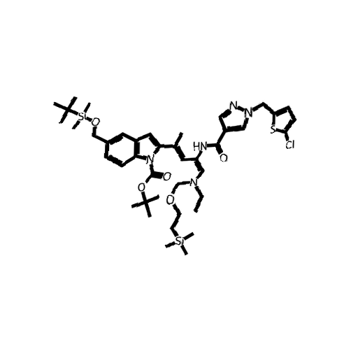 CCN(/C=C(\C=C(/C)c1cc2cc(CO[Si](C)(C)C(C)(C)C)ccc2n1C(=O)OC(C)(C)C)NC(=O)c1cnn(Cc2ccc(Cl)s2)c1)COCC[Si](C)(C)C